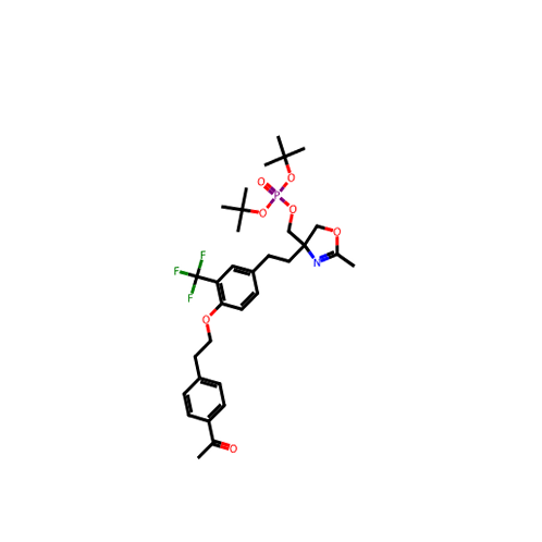 CC(=O)c1ccc(CCOc2ccc(CCC3(COP(=O)(OC(C)(C)C)OC(C)(C)C)COC(C)=N3)cc2C(F)(F)F)cc1